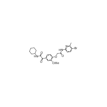 COc1cc(C(=O)C(=O)NC2CCCCC2)ccc1OCC(=O)Nc1ccc(Br)c(C)n1